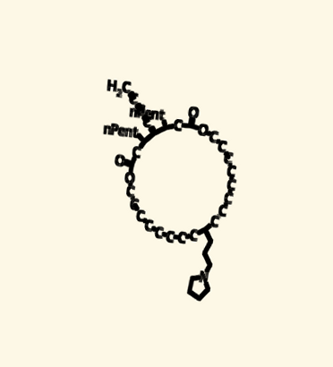 C=C=C=C=C1C(CCCCC)CC(=O)OCCCCCCCCC(CCCN2CCCC2)CCCCCCCCOC(=O)CC1CCCCC